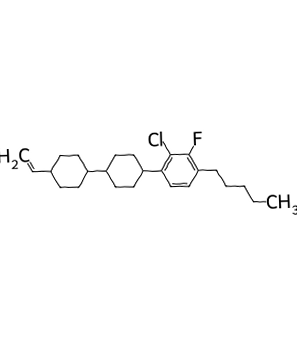 C=CC1CCC(C2CCC(c3ccc(CCCCC)c(F)c3Cl)CC2)CC1